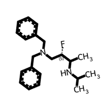 CC(C)NC(C)[C@@H](F)CN(Cc1ccccc1)Cc1ccccc1